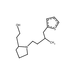 CC([CH]CN1CCCC1CCO)Cc1cccs1